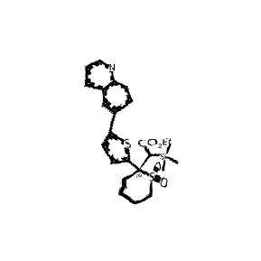 CCOC(=O)C([C@]1(c2ccc(-c3ccc4ncccc4c3)s2)CCCCS1(=O)=O)[Si](C)(C)C